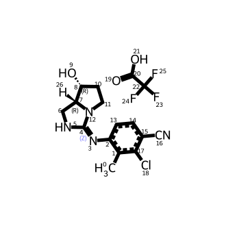 Cc1c(/N=C2/NC[C@@H]3[C@H](O)CCN23)ccc(C#N)c1Cl.O=C(O)C(F)(F)F